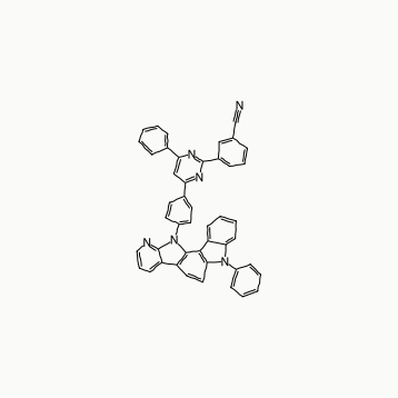 N#Cc1cccc(-c2nc(-c3ccccc3)cc(-c3ccc(-n4c5ncccc5c5ccc6c(c7ccccc7n6-c6ccccc6)c54)cc3)n2)c1